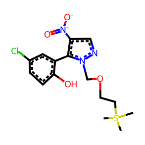 CS(C)(C)CCOCn1ncc([N+](=O)[O-])c1-c1cc(Cl)ccc1O